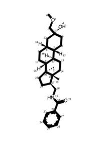 COC[C@@]1(O)CC[C@H]2[C@H](CC[C@@H]3[C@@H]2CC[C@]2(C)[C@@H](CNC(=O)c4ccccc4)CC[C@@]32C)C1